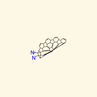 N#CC12C3C4C=CC5C6C=CC7C8C=CC9C%10C=CC%11C%12C%13=C%14C%15=C(C9C8C8=C%15C9=C(C6C87)C5C4C(=C9%14)C31C%131C%11C21C#N)C%10%12